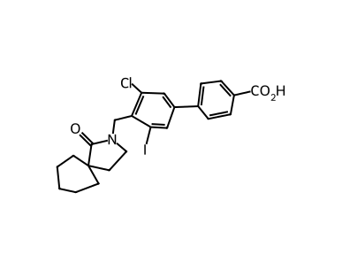 O=C(O)c1ccc(-c2cc(Cl)c(CN3CCC4(CCCCC4)C3=O)c(I)c2)cc1